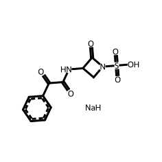 O=C(NC1CN(S(=O)(=O)O)C1=O)C(=O)c1ccccc1.[NaH]